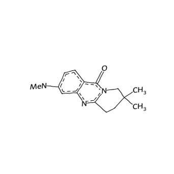 CNc1ccc2c(=O)n3c(nc2c1)CCC(C)(C)C3